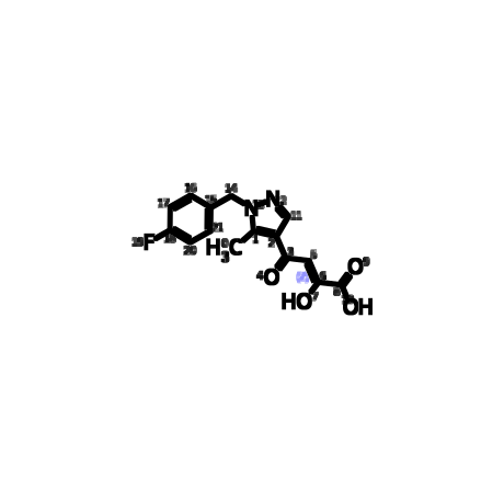 Cc1c(C(=O)/C=C(\O)C(=O)O)cnn1Cc1ccc(F)cc1